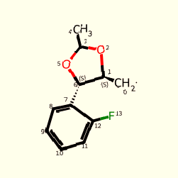 [CH2][C@@H]1OC(C)O[C@H]1c1ccccc1F